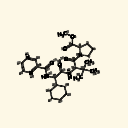 COC(=O)C1CCCN1C(=O)C(NC(=O)C(NC(=O)c1cnccn1)C1CCCCC1)C(C)(C)C